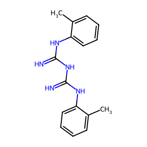 Cc1ccccc1NC(=N)NC(=N)Nc1ccccc1C